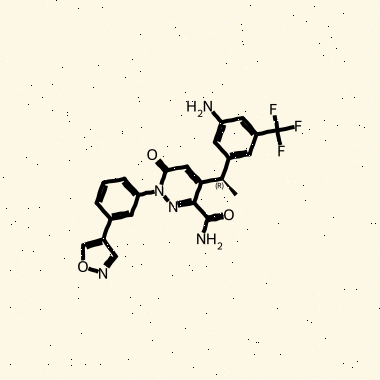 C[C@H](c1cc(N)cc(C(F)(F)F)c1)c1cc(=O)n(-c2cccc(-c3cnoc3)c2)nc1C(N)=O